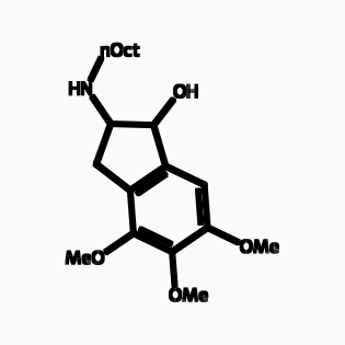 CCCCCCCCNC1Cc2c(cc(OC)c(OC)c2OC)C1O